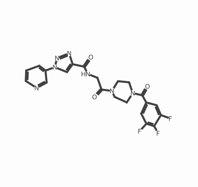 O=C(NCC(=O)N1CCN(C(=O)c2cc(F)c(F)c(F)c2)CC1)c1cn(-c2cccnc2)nn1